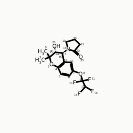 CC1(C)Oc2ccc(OC(F)(F)C(F)F)cc2[C@H](N2CCCC2=O)[C@H]1O